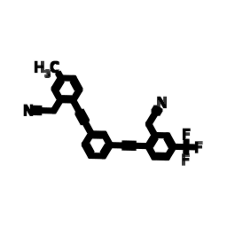 Cc1ccc(C#Cc2cccc(C#Cc3ccc(C(F)(F)F)cc3CC#N)c2)c(CC#N)c1